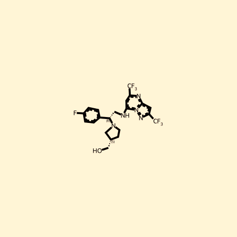 OC[C@H]1CCN([C@@H](CNc2cc(C(F)(F)F)nc3cc(C(F)(F)F)nn23)c2ccc(F)cc2)C1